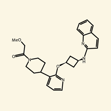 COCC(=O)N1CCC(c2cccnc2O[C@H]2C[C@@H](Nc3ccc4ccccc4n3)C2)CC1